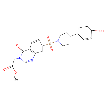 CC(C)(C)OC(=O)Cn1cnc2cc(S(=O)(=O)N3CCC(c4ccc(O)cc4)CC3)ccc2c1=O